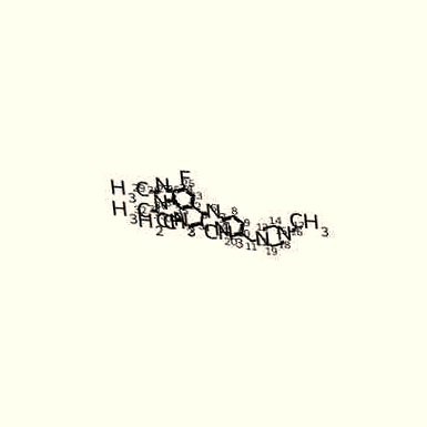 C=N/C=C(C)\C(=N/c1ccc(CN2CCN(CC)CC2)cn1)c1cc(F)c2nc(C)n(C(C)C)c2c1